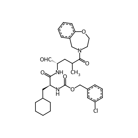 CC(C[C@@H](C=O)NC(=O)[C@H](CC1CCCCC1)NC(=O)OCc1cccc(Cl)c1)C(=O)N1CCOc2ccccc2C1